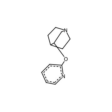 c1ccc(OC2CN3CCC2CC3)nc1